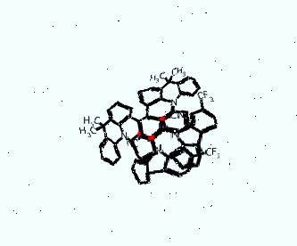 CC1(C)c2ccccc2N(c2ccccc2)c2c(-c3c(C#N)c(-n4c5ccccc5c5ccc(C(F)(F)F)cc54)c(-n4c5ccccc5c5ccc(C(F)(F)F)cc54)c(C#N)c3-c3cccc4c3N(c3ccccc3)c3ccccc3C4(C)C)cccc21